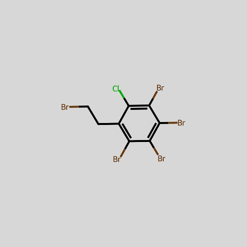 Clc1c(Br)c(Br)c(Br)c(Br)c1CCBr